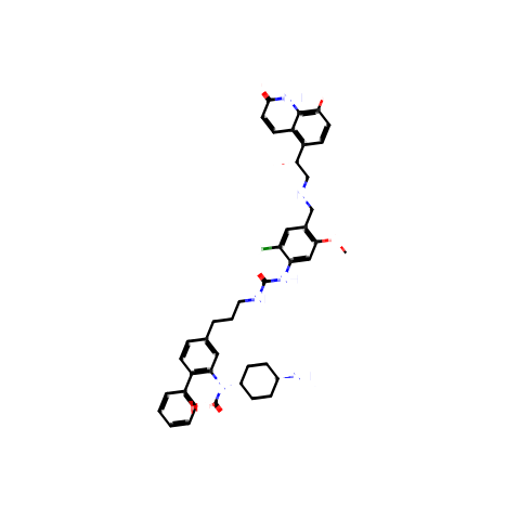 COc1cc(NC(=O)NCCCc2ccc(-c3ccccc3)c(N(C(=O)O)[C@H]3CC[C@H](N)CC3)c2)c(Cl)cc1CNC[C@H](O)c1ccc(O)c2[nH]c(=O)ccc12